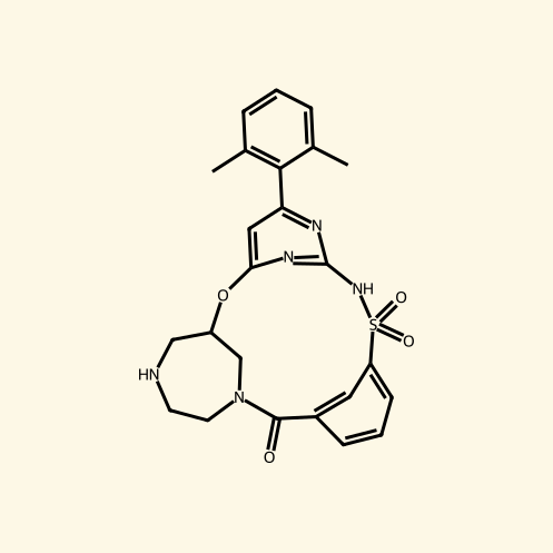 Cc1cccc(C)c1-c1cc2nc(n1)NS(=O)(=O)c1cccc(c1)C(=O)N1CCNCC(C1)O2